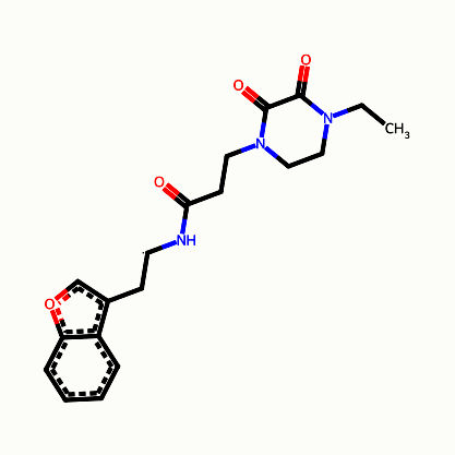 CCN1CCN(CCC(=O)N[CH]Cc2coc3ccccc23)C(=O)C1=O